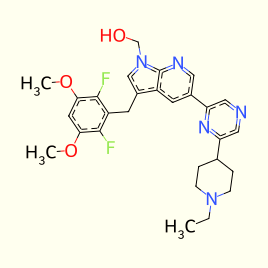 CCN1CCC(c2cncc(-c3cnc4c(c3)c(Cc3c(F)c(OC)cc(OC)c3F)cn4CO)n2)CC1